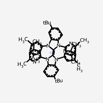 Cc1cc(C)nc(N2/C(=C3/N(c4cc(C)cc(C)n4)c4ccc(C(C)(C)C)cc4N3c3cc(C)cc(C)n3)N(c3cc(C)cc(C)n3)c3cc(C(C)(C)C)ccc32)c1